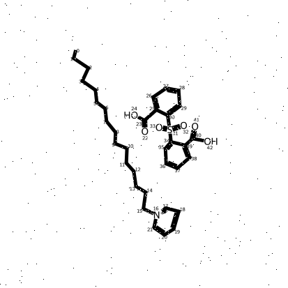 CCCCCCCCCCCCCCCC[n+]1ccccc1.O=C(O)c1ccccc1S(=O)(=O)c1ccccc1C(=O)O